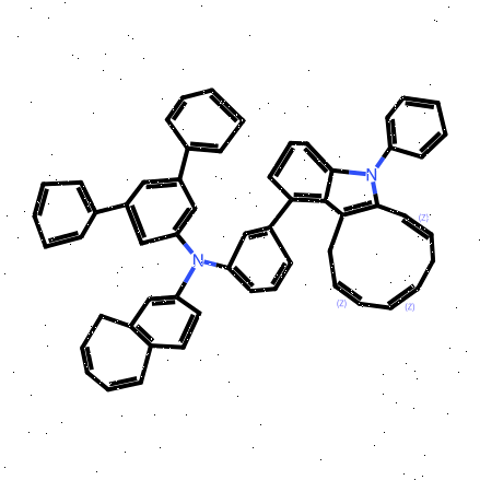 C1=CCc2cc(N(c3cc(-c4ccccc4)cc(-c4ccccc4)c3)c3cccc(-c4cccc5c4c4c(n5-c5ccccc5)/C=C\C/C=C\C=C/C4)c3)ccc2C=C1